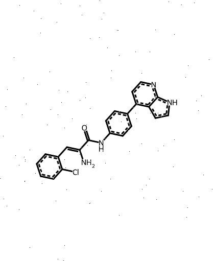 NC(=Cc1ccccc1Cl)C(=O)Nc1ccc(-c2ccnc3[nH]ccc23)cc1